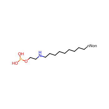 CCCCCCCCCCCCCCCCCCNCCOP(O)O